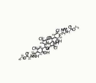 CCOC(=O)Cn1cc(-c2cc(O)c(C(=O)c3[nH]c(Cl)c(Cl)c3-n3c(C(=O)c4cc(Cl)c(-c5cn(CC(=O)OCC)[nH]5)cc4O)cc(Cl)c3Cl)cc2Cl)nn1